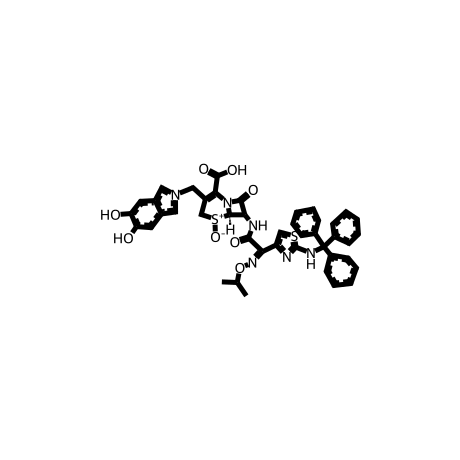 CC(C)O/N=C(\C(=O)NC1C(=O)N2C(C(=O)O)=C(Cn3cc4cc(O)c(O)cc4c3)C[S+]([O-])[C@H]12)c1csc(NC(c2ccccc2)(c2ccccc2)c2ccccc2)n1